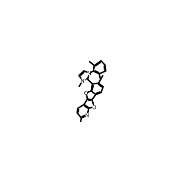 Cc1ccc2c(n1)oc1c3ccc(C)c(-c4n(-c5c(C)cccc5C)cc[n+]4C)c3oc21